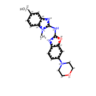 Cn1c(Nc2nc3ccc(N4CCOCC4)cc3o2)nc2cc(C(=O)O)ccc21